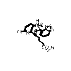 O=C(O)CCCC#Cc1nc(Cl)ccc1NS(=O)(=O)c1cccc2nsnc12